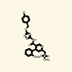 COc1ccccc1-c1cc(CS(=O)(=O)OC)ncc1C(=O)Nc1nnc(OCc2ccc(Cl)cc2)s1